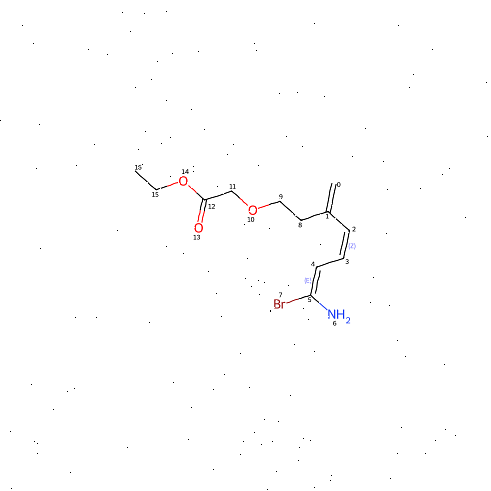 C=C(/C=C\C=C(/N)Br)CCOCC(=O)OCC